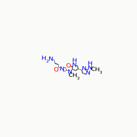 CNc1nccc(-c2c[nH]c(=O)c(N(C)C3CN(C(=O)C=CCN)C3)c2)n1